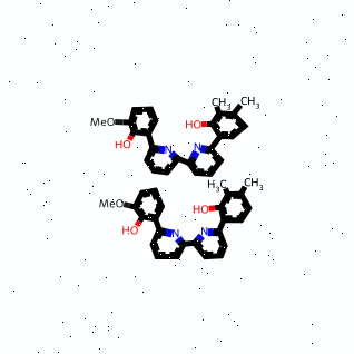 COc1cccc(-c2cccc(-c3cccc(-c4ccc(C)c(C)c4O)n3)n2)c1O.COc1cccc(-c2cccc(-c3cccc(-c4ccc(C)c(C)c4O)n3)n2)c1O